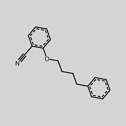 N#Cc1ccccc1OCCCCc1ccccc1